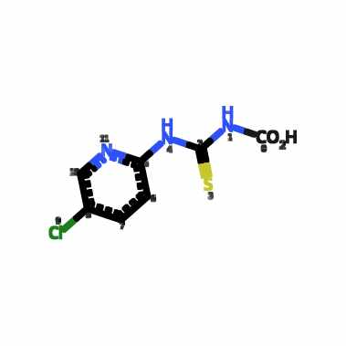 O=C(O)NC(=S)Nc1ccc(Cl)cn1